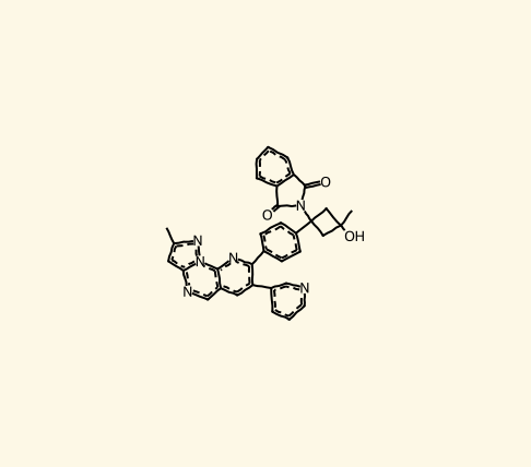 Cc1cc2ncc3cc(-c4cccnc4)c(-c4ccc(C5(N6C(=O)c7ccccc7C6=O)CC(C)(O)C5)cc4)nc3n2n1